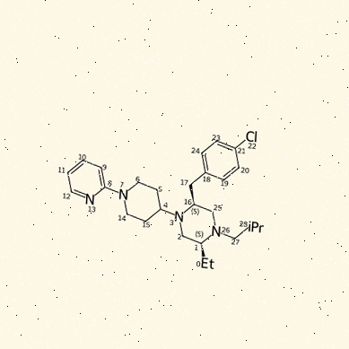 CC[C@H]1CN(C2CCN(c3ccccn3)CC2)[C@@H](Cc2ccc(Cl)cc2)CN1CC(C)C